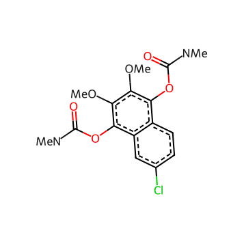 CNC(=O)Oc1c(OC)c(OC)c(OC(=O)NC)c2cc(Cl)ccc12